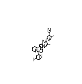 Cc1cn2nc([C@@H]3CCCCN3C(=O)c3cc(I)ccn3)cc2nc1N1C[C@@H](C#N)[C@@H](C)C1